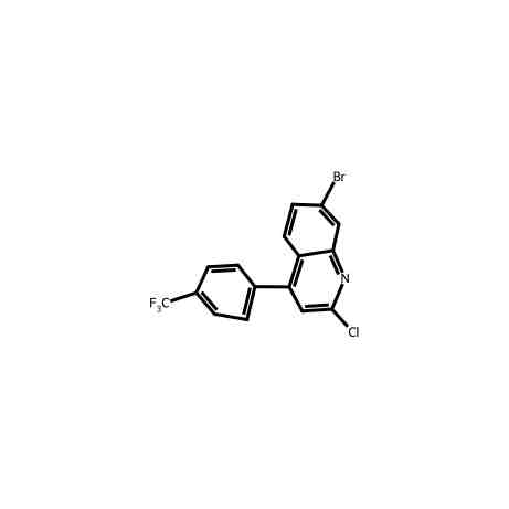 FC(F)(F)c1ccc(-c2cc(Cl)nc3cc(Br)ccc23)cc1